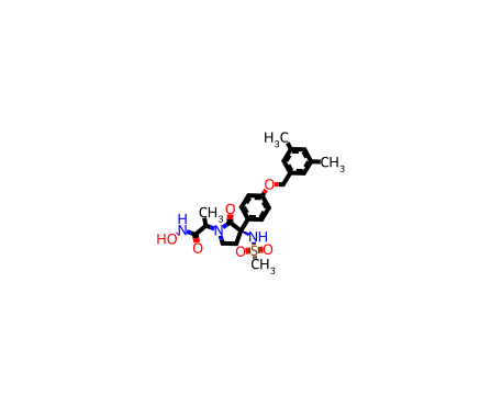 Cc1cc(C)cc(COc2ccc([C@]3(NS(C)(=O)=O)CCN(C(C)C(=O)NO)C3=O)cc2)c1